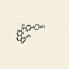 CCN1CCN(c2ccc(Nc3ncc4ccc5ncn(C(C)C)c5c4n3)nc2)CC1